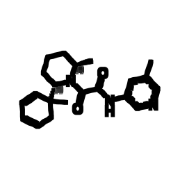 Cc1cncc(NC(=O)C(=O)N2[C@H](C)CCC[C@H]2C2(C)C=CC=CC2)c1